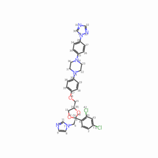 Clc1ccc([C@]2(Cn3ccnc3)OC[C@@H](COc3ccc(N4CCN(c5ccc(-n6cncn6)cc5)CC4)cc3)O2)c(Cl)c1